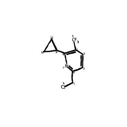 FC(F)(F)c1ccc(CCl)nc1C1CC1